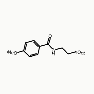 CCCCCCCCCCNC(=O)c1ccc(OC)cc1